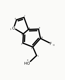 OCc1cc2occc2cc1F